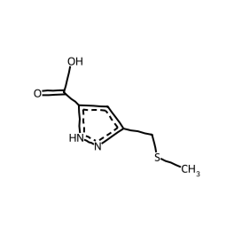 CSCc1cc(C(=O)O)[nH]n1